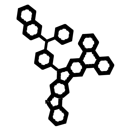 c1ccc(N(c2cccc(-n3c4cc5c6ccccc6c6ccccc6c5cc4c4cn5c(cc43)nc3ccccc35)c2)c2ccc3ccccc3c2)cc1